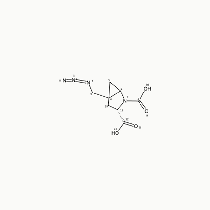 [N-]=[N+]=NCC12CC1N(C(=O)O)[C@H](C(=O)O)C2